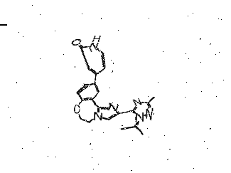 Cc1nc(-c2cn3c(n2)-c2cc(-c4cc[nH]c(=O)c4)ccc2OCC3)n(C(C)C)n1